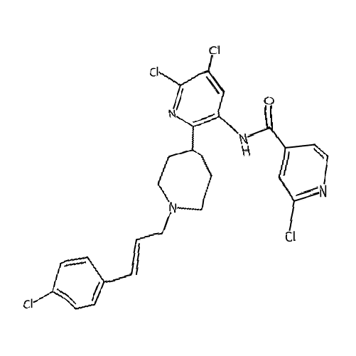 O=C(Nc1cc(Cl)c(Cl)nc1C1CCN(CC=Cc2ccc(Cl)cc2)CC1)c1ccnc(Cl)c1